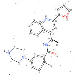 Cc1ccc(N2CCN(C)CC2)cc1C(=O)N[C@H](C)c1cc(-c2ccco2)nc2ccccc12